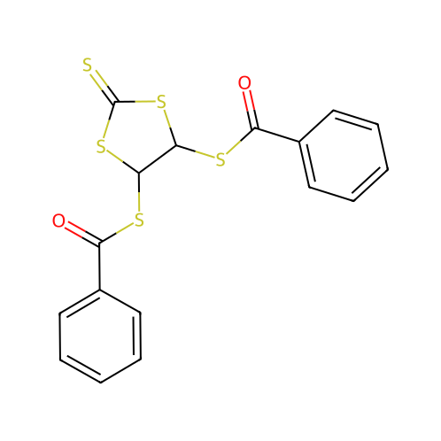 O=C(SC1SC(=S)SC1SC(=O)c1ccccc1)c1ccccc1